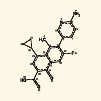 Cc1c(-c2ccc(N)nc2)c(F)cn2c(=O)c(C(=O)O)cc(C3CC3)c12